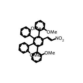 COc1ccccc1-c1cc(/C=C/[N+](=O)[O-])c(-c2ccccc2OC)c(-c2ccccc2OC)c1-c1ccccc1OC